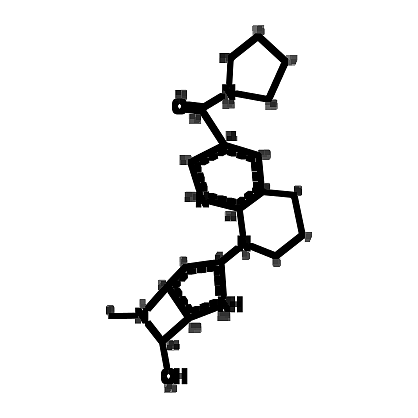 CN1c2cc(N3CCCc4cc(C(=O)N5CCCC5)cnc43)[nH]c2C1O